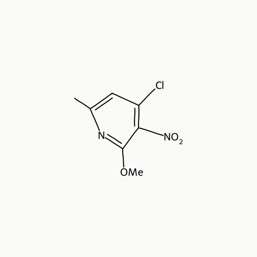 COc1nc(C)cc(Cl)c1[N+](=O)[O-]